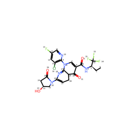 CC[C@@H](NC(=O)C1=CN(c2ncc(F)cc2Cl)C2=NC(N3C[C@@H](O)CC3=O)=CCC2C1=O)C(F)(F)F